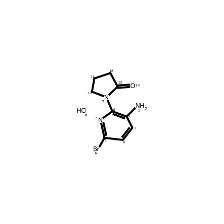 Cl.Nc1ccc(Br)nc1N1CCCC1=O